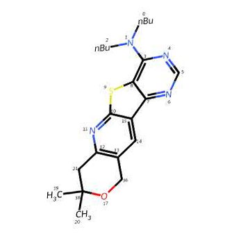 CCCCN(CCCC)c1ncnc2c1sc1nc3c(cc12)COC(C)(C)C3